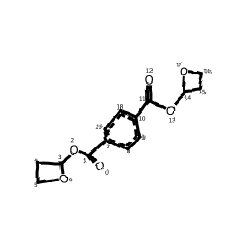 O=C(OC1CCO1)c1ccc(C(=O)OC2CCO2)cc1